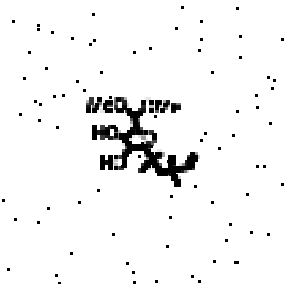 C=CC(C)(C)CC(C)(C)C1OC(C(OC)OC)C(O)C1O